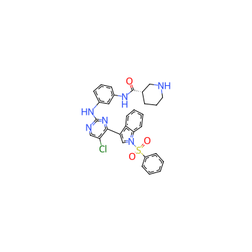 O=C(Nc1cccc(Nc2ncc(Cl)c(-c3cn(S(=O)(=O)c4ccccc4)c4ccccc34)n2)c1)[C@H]1CCCNC1